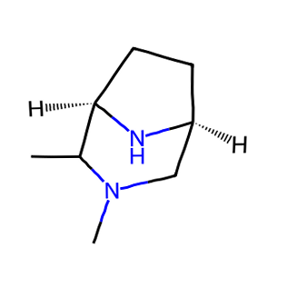 CC1[C@H]2CC[C@@H](CN1C)N2